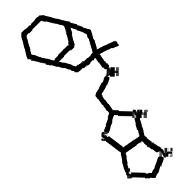 CC1(NCC2NC3NCSC3S2)CC2CCCC(C2)C1